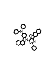 C1=Cc2c(ccc3c2c2cc(N(c4ccccc4)c4ccccc4)ccc2n3-c2nc(-c3ccccc3)nc3c2oc2cc4ccccc4cc23)CC1